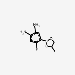 CC1COB(c2cc(N)c(N)cc2F)O1